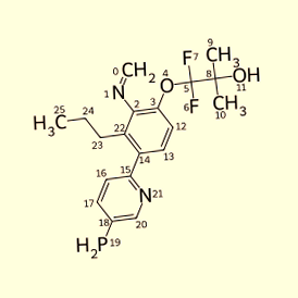 C=Nc1c(OC(F)(F)C(C)(C)O)ccc(-c2ccc(P)cn2)c1CCC